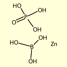 O=P(O)(O)O.OB(O)O.[Zn]